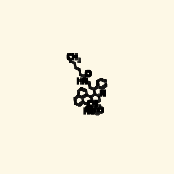 CCCCCCC(=O)NCCc1c2c(nc3ccccc13)CC(C(=O)O)C=C2c1cccc2cccc(C(C)C)c12